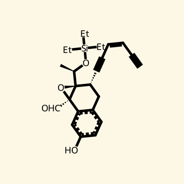 C#C/C=C\C#C[C@@H]1Cc2ccc(O)cc2[C@@]2(C=O)O[C@@]12[C@@H](C)O[Si](CC)(CC)CC